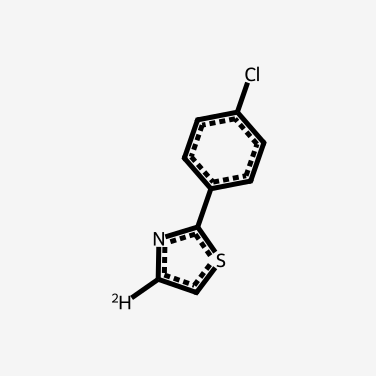 [2H]c1csc(-c2ccc(Cl)cc2)n1